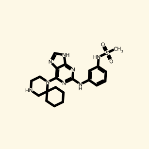 CS(=O)(=O)Nc1cccc(Nc2nc(N3CCNCC34CCCCC4)c3nc[nH]c3n2)c1